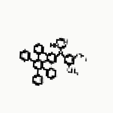 Cc1cc(C)cc(N(C2=CN=CCN2)c2ccc3c(c2)c2ccccc2c2c(-c4ccccc4)cc(-c4ccccc4)c(C4=CC=CCC4)c32)c1